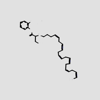 CC/C=C\C/C=C\C/C=C\C/C=C\C/C=C\C/C=C\CCCNC(CC(C)C)C(=O)Oc1ccccc1C(=O)OCC